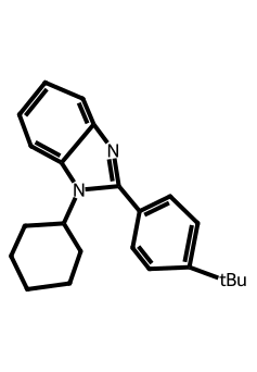 CC(C)(C)c1ccc(-c2nc3ccccc3n2C2CCCCC2)cc1